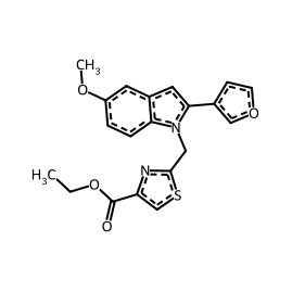 CCOC(=O)c1csc(Cn2c(-c3ccoc3)cc3cc(OC)ccc32)n1